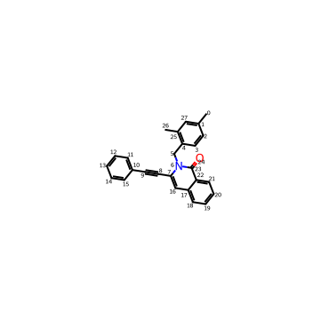 Cc1ccc(Cn2c(C#Cc3ccccc3)cc3ccccc3c2=O)c(C)c1